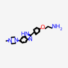 CN1CCN(c2ccc3nc(-c4ccc(OCCCN)cc4)[nH]c3c2)CC1